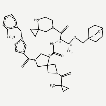 C[C@@H](OCC12CCC(CC1)OC2)[C@H](NC(=O)[C@@H]1CN(C(=O)c2cnn(Cc3ccccc3C(=O)O)c2)CC12CN(C(=O)C1(C(F)(F)F)CC1)C2)C(=O)N1CCNC2(CC2)C1